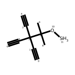 C#CC(C#C)(C#C)C(C)(C)O[SiH3]